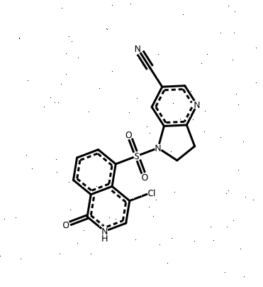 N#Cc1cnc2c(c1)N(S(=O)(=O)c1cccc3c(=O)[nH]cc(Cl)c13)CC2